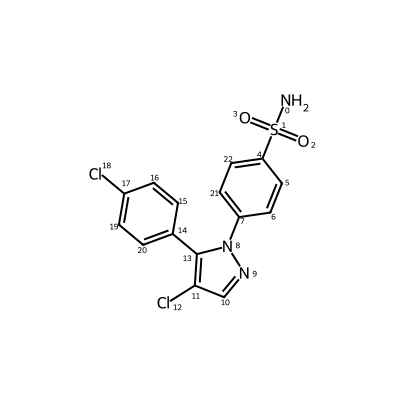 NS(=O)(=O)c1ccc(-n2ncc(Cl)c2-c2ccc(Cl)cc2)cc1